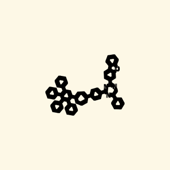 C1=CC(c2ccc(C3=NC(c4ccc5c(c4)oc4ccccc45)=NCC(c4ccccc4)=N3)cc2)=CC=C(c2cc(-c3ccccc3)c(-c3ccccc3)c(-c3ccccc3)c2-c2ccccc2)C1